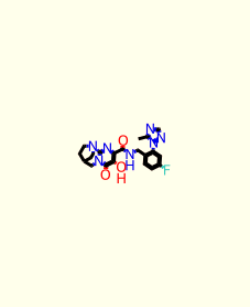 Cc1ncnn1-c1cc(F)ccc1CNC(=O)c1nc2n(c(=O)c1O)CC1CCN2CC1